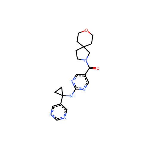 O=C(c1cnc(NC2(c3cncnc3)CC2)nc1)N1CCC2(CCOCC2)C1